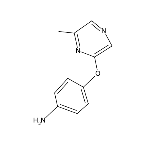 Cc1cncc(Oc2ccc(N)cc2)n1